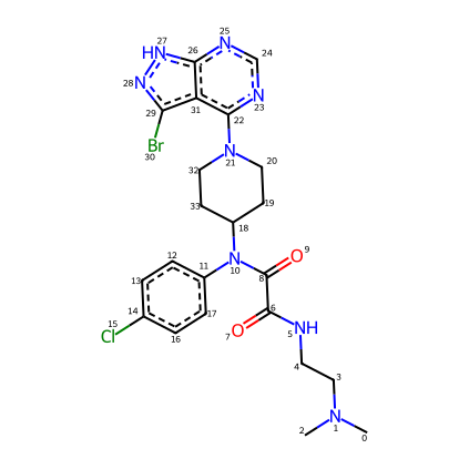 CN(C)CCNC(=O)C(=O)N(c1ccc(Cl)cc1)C1CCN(c2ncnc3[nH]nc(Br)c23)CC1